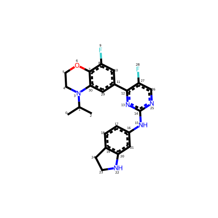 CC(C)N1CCOc2c(F)cc(-c3nc(Nc4ccc5c(c4)NCC5)ncc3F)cc21